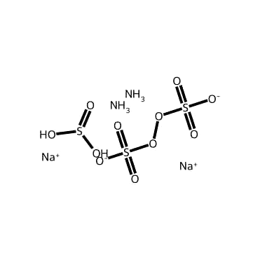 N.N.O=S(=O)([O-])OOS(=O)(=O)[O-].O=S(O)O.[Na+].[Na+]